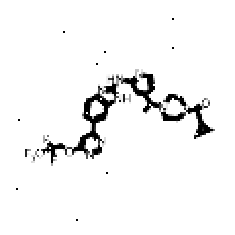 CC(c1ccnc(Nc2nc3ccc(-c4cc(OCC(F)(F)C(F)(F)F)ncn4)cc3[nH]2)c1)N1CCN(C(=O)C2CC2)CC1